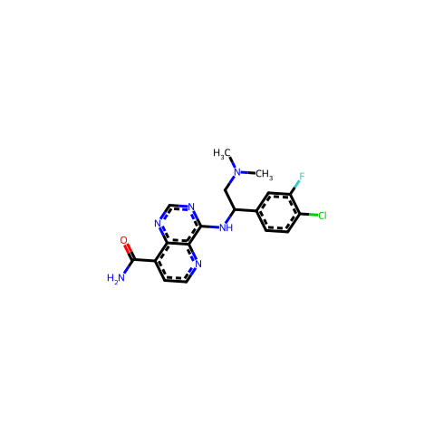 CN(C)CC(Nc1ncnc2c(C(N)=O)ccnc12)c1ccc(Cl)c(F)c1